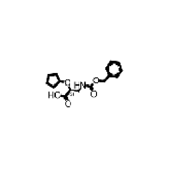 O=C(NC[C@H](OC1CCCC1)C(=O)O)OCc1ccccc1